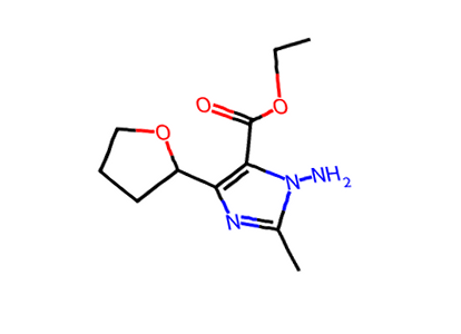 CCOC(=O)c1c(C2CCCO2)nc(C)n1N